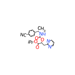 CC(C)OC(=O)C(Cc1ncccn1)OC(=O)N[C@@H](C)c1ccc(C#N)cc1